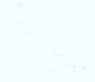 Cc1cnccc1C(C)CCCc1cccc(C(F)(F)F)c1